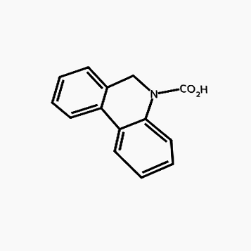 O=C(O)N1Cc2ccccc2-c2ccccc21